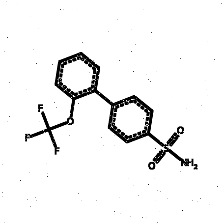 NS(=O)(=O)c1ccc(-c2ccccc2OC(F)(F)F)cc1